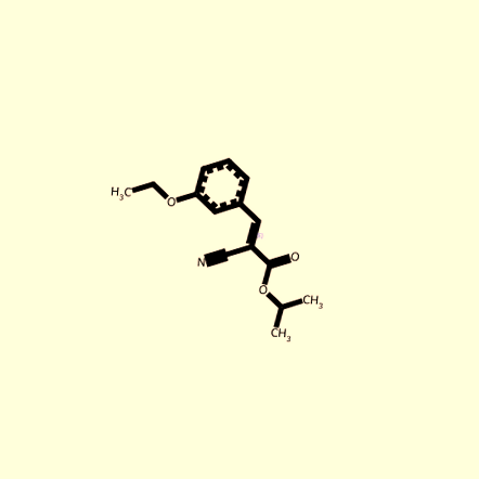 CCOc1cccc(/C=C(\C#N)C(=O)OC(C)C)c1